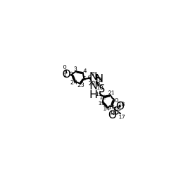 COc1ccc(-c2nnc(SCc3ccc(S(C)(=O)=O)cc3)[nH]2)cc1